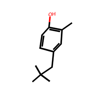 Cc1cc(CC(C)(C)C)ccc1O